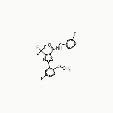 COc1ccc(F)cc1-c1nc(C(F)(F)F)c(C(=O)NCc2cccc(F)c2)s1